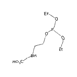 CCOP(OCC)OCCBC(=O)O